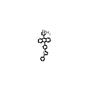 C/C=C(\C=C/CC)c1c2ccccc2c(-c2ccc(-c3ccc(-c4ccccc4)s3)cc2)c2ccccc12